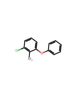 FC(F)(F)c1c(Cl)cccc1Oc1ccccc1